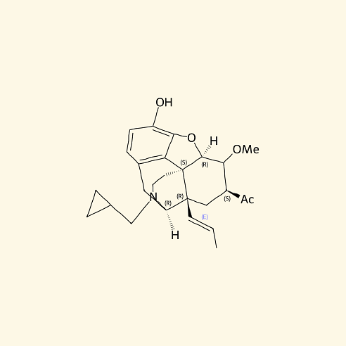 C/C=C/[C@]12C[C@H](C(C)=O)C(OC)[C@@H]3Oc4c(O)ccc5c4[C@@]31CCN(CC1CC1)[C@@H]2C5